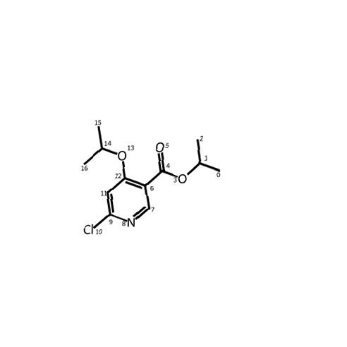 CC(C)OC(=O)c1cnc(Cl)cc1OC(C)C